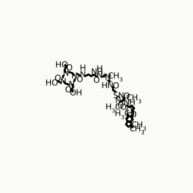 COc1nc(SCCC(=O)NCCN(C)CCNC(=O)[C@H](N)CCCNC(=O)CN2CCN(CC(=O)O)CCN(CC(=O)O)CCN(CC(=O)O)CC2)nc(OC)c1NC(=O)c1ccc(Oc2cc3c(cc2C)CCC3(C)C)o1